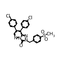 CS(=O)(=O)c1ccc(Cn2nc3c(-c4ccc(Cl)cc4)c(-c4ccc(Cl)cc4)cnn3c2=O)cc1